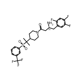 CC(C)(C1CCN(C(=O)C[C@@H](N)Cc2cc(F)c(F)cc2F)CC1)S(=O)(=O)c1cccc(C(F)(F)F)c1